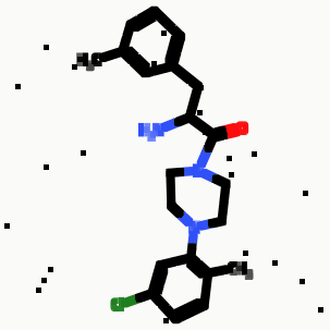 Cc1cccc(CC(N)C(=O)N2CCN(c3cc(Cl)ccc3C)CC2)c1